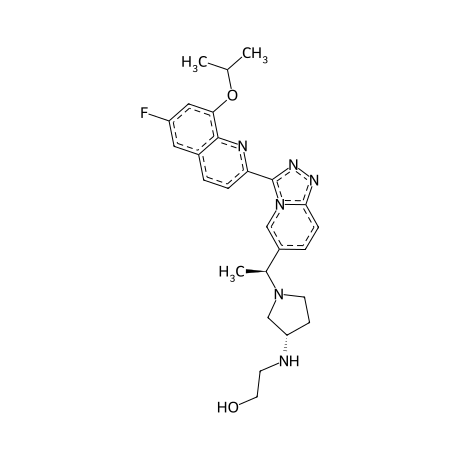 CC(C)Oc1cc(F)cc2ccc(-c3nnc4ccc([C@H](C)N5CC[C@H](NCCO)C5)cn34)nc12